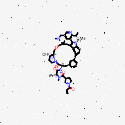 C=CC(=O)N1CCC(C(=O)N(C)[C@H](C(=O)N[C@H]2Cc3cccc(c3)-c3ccc4c(c3)c(c(-c3cc(CN(C)C)cnc3[C@H](C)OC)n4CC)CC(C)(C)COC[C@@]3(C=O)CCCN(N3)C2=O)C(C)C)C1